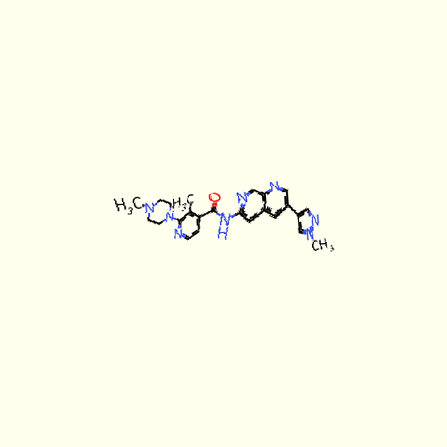 Cc1c(C(=O)Nc2cc3cc(-c4cnn(C)c4)cnc3cn2)ccnc1N1CCN(C)CC1